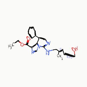 CCOC(=O)c1ncn2c(NC/C(C)=C/C=C\O)ncc(-c3ccccc3)c12